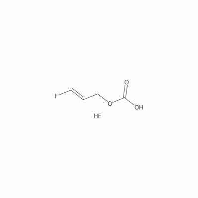 F.O=C(O)OCC=CF